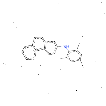 Cc1cc(C)c(Nc2ccc3c(ccc4ccccc43)c2)c(C)c1